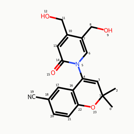 CC1(C)C=C(n2cc(CO)c(CO)cc2=O)c2cc(C#N)ccc2O1